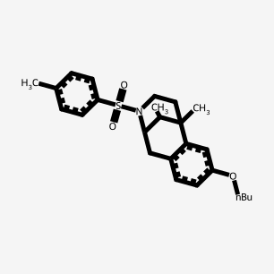 CCCCOc1ccc2c(c1)C1(C)CCN(S(=O)(=O)c3ccc(C)cc3)C(C2)C1C